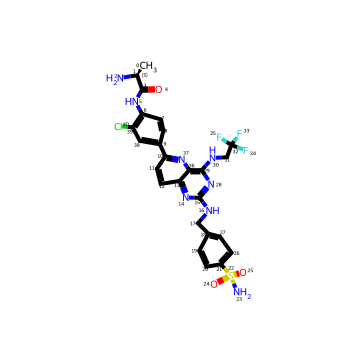 C[C@H](N)C(=O)Nc1ccc(-c2ccc3nc(NCc4ccc(S(N)(=O)=O)cc4)nc(NCC(F)(F)F)c3n2)cc1Cl